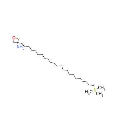 CS(C)(C)CCCCCCCCCCCCCCCCCCCCCCCC1(N)COC1